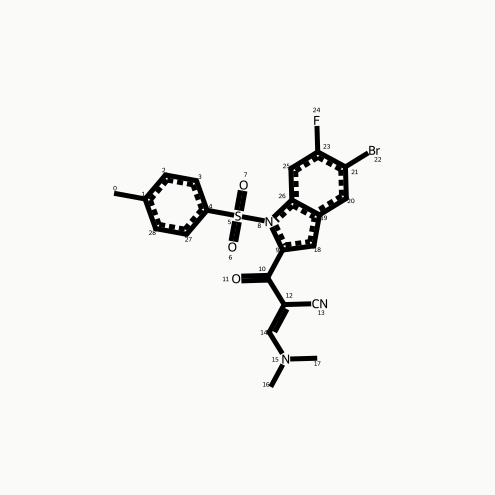 Cc1ccc(S(=O)(=O)n2c(C(=O)C(C#N)=CN(C)C)cc3cc(Br)c(F)cc32)cc1